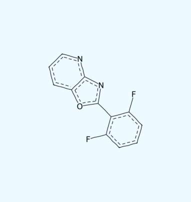 Fc1cccc(F)c1-c1nc2ncccc2o1